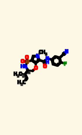 C=C[C@H](C)[C@@H]1COc2c(cn(C)c2C(=O)Nc2ccc(F)c(C#N)c2)S(=O)(=O)N1